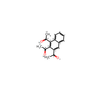 CC(=O)c1[c]c2ccccc2c(C(C)=O)c1C(C)=O